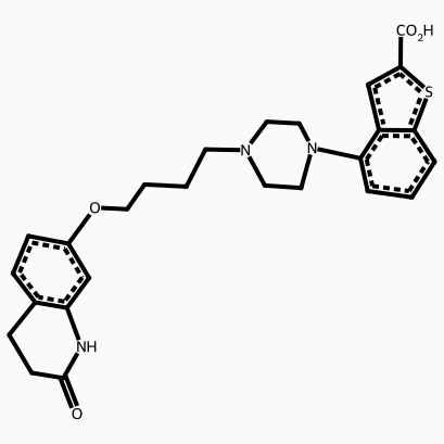 O=C1CCc2ccc(OCCCCN3CCN(c4cccc5sc(C(=O)O)cc45)CC3)cc2N1